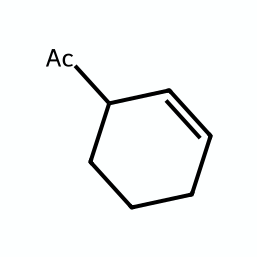 CC(=O)C1C=CCCC1